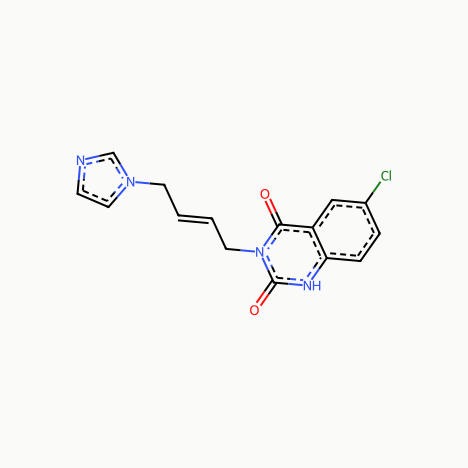 O=c1[nH]c2ccc(Cl)cc2c(=O)n1CC=CCn1ccnc1